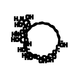 CNC(=O)[C@H]1[C@@H]2CC(O[C@@H]3OC[C@@H](O)[C@H](N)[C@H]3O)/C=C/C=C/C=C/C=C/C=C/C=C/C=C/[C@H](C)[C@@H](O)C[C@H](C)OC(=O)CC(O)CC(O)CCC(O)C(O)CC(O)CC(O)(C[C@@H]1O)O2